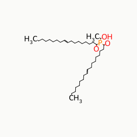 CCCCCCCCC=CCCCCCCCC(=O)P(C(=O)CCCCCCCC=CCCCCCCCC)C(C)O